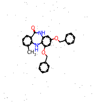 Cc1cccc2c1Nc1c(cc(OCc3ccccc3)cc1OCc1ccccc1)NC2=O